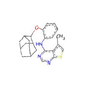 Cc1csc2ncnc(Nc3ccccc3OC3C4CC5CC(C4)CC3C5)c12